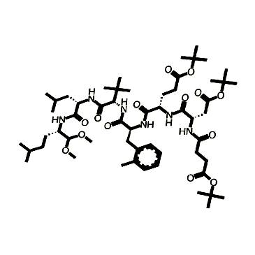 COC(OC)[C@H](CCC(C)C)NC(=O)[C@H](CC(C)C)NC(=O)[C@@H](NC(=O)[C@H](Cc1ccccc1C)NC(=O)[C@H](CCC(=O)OC(C)(C)C)NC(=O)[C@H](CC(=O)OC(C)(C)C)NC(=O)CCC(=O)OC(C)(C)C)C(C)(C)C